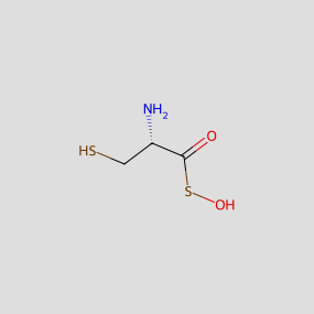 N[C@@H](CS)C(=O)SO